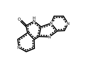 O=c1[nH]c2c(nc3cnccn32)c2ccncc12